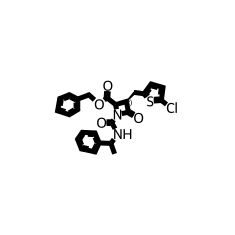 CC(NC(=O)N1C(=O)[C@H](Cc2ccc(Cl)s2)C1C(=O)OCc1ccccc1)c1ccccc1